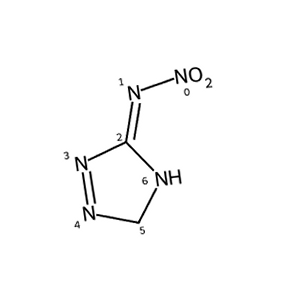 O=[N+]([O-])N=C1N=NCN1